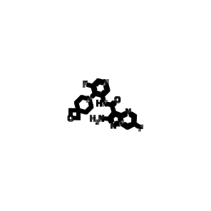 Nc1nn2cc(F)cnc2c1C(=O)Nc1cncc(F)c1N1CCC2(CC1)COC2